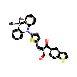 CCCC[Si]1(CCCC)c2ccccc2N(c2ccc(/C=C3\C(=O)c4cc5ccsc5cc4C3=O)s2)c2ccccc21